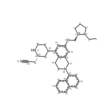 CCN1CCC[C@@H]1COc1nc2c(c(N3CCN[C@@H](CC#N)C3)n1)CCN(c1cccc3ccccc13)C2